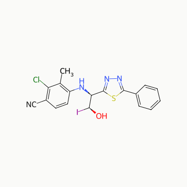 Cc1c(N[C@@H](c2nnc(-c3ccccc3)s2)[C@@H](O)I)ccc(C#N)c1Cl